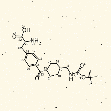 CC(C)(C)OC(=O)NC[C@H]1CC[C@H](C(=O)c2ccc(CC(N)C(=O)O)cc2)CC1